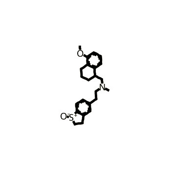 COc1cccc2c1CCCC2CN(C)CCc1ccc2c(c1)CC[S+]2[O-]